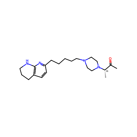 CC(=O)[C@H](C)N1CCN(CCCCCc2ccc3c(n2)NCCC3)CC1